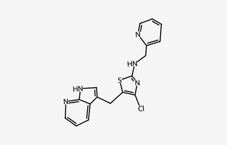 Clc1nc(NCc2ccccn2)sc1Cc1c[nH]c2ncccc12